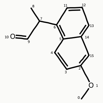 COc1ccc2c(C(C)C=O)cccc2c1